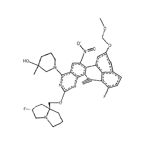 C#Cc1c(F)ccc2cc(OCOC)cc(-c3c([N+](=O)[O-])cc4c(N5CCCC(C)(O)C5)nc(OC[C@@]56CCCN5C[C@H](F)C6)nc4c3F)c12